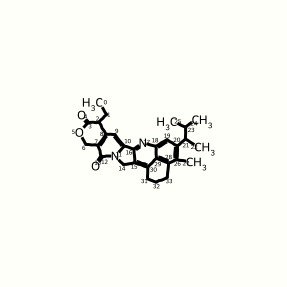 CCC1C(=O)OCc2c1cc1n(c2=O)Cc2c-1nc1cc(C(C)C(C)C)c(C)c3c1c2CCC3